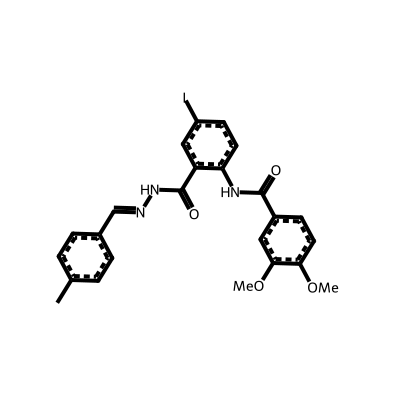 COc1ccc(C(=O)Nc2ccc(I)cc2C(=O)N/N=C/c2ccc(C)cc2)cc1OC